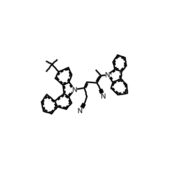 C/C(=C(C#N)\C=C(/CC#N)n1c2ccc(C(C)(C)C)cc2c2c3ccccc3ccc21)n1c2ccccc2c2ccccc21